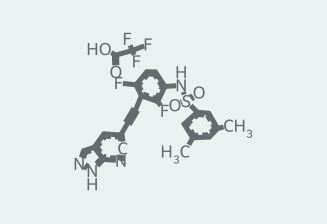 Cc1cc(C)cc(S(=O)(=O)Nc2ccc(F)c(C#Cc3cnc4[nH]ncc4c3)c2F)c1.O=C(O)C(F)(F)F